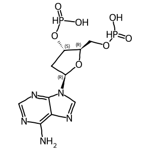 Nc1ncnc2c1ncn2[C@H]1C[C@H](O[PH](=O)O)[C@@H](CO[PH](=O)O)O1